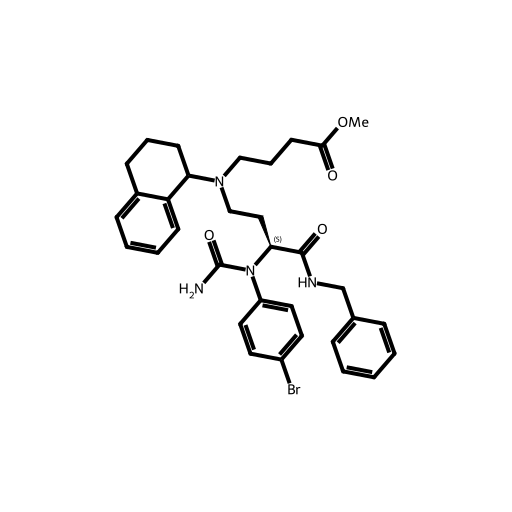 COC(=O)CCCN(CC[C@@H](C(=O)NCc1ccccc1)N(C(N)=O)c1ccc(Br)cc1)C1CCCc2ccccc21